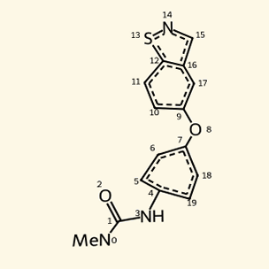 CNC(=O)Nc1ccc(Oc2ccc3sncc3c2)cc1